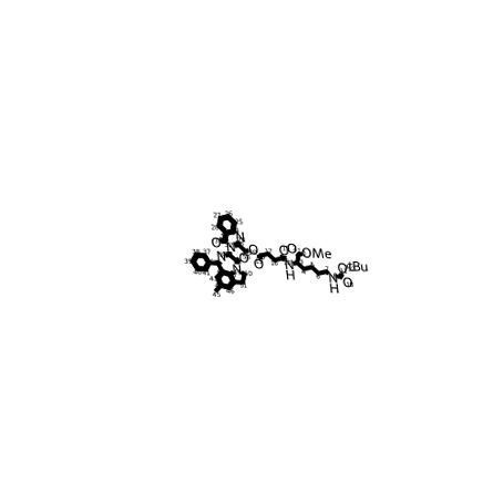 COC(=O)C(CCCCNC(=O)OC(C)(C)C)NC(=O)CCC(=O)OCc1nc2ccccc2c(=O)n1C1N=C(c2ccccc2)c2cc(C)cc3c2N(CC3)C1=O